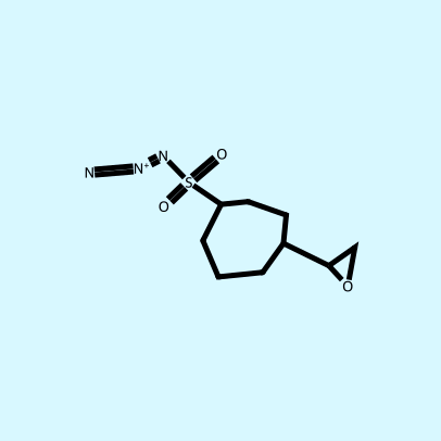 [N-]=[N+]=NS(=O)(=O)C1CCCC(C2CO2)CC1